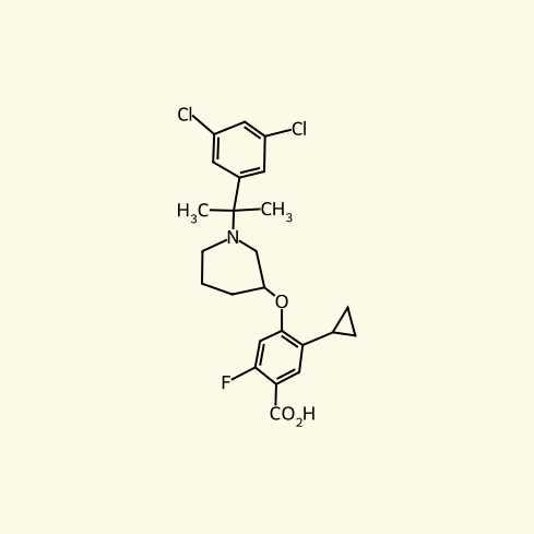 CC(C)(c1cc(Cl)cc(Cl)c1)N1CCCC(Oc2cc(F)c(C(=O)O)cc2C2CC2)C1